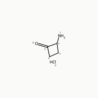 Cl.NC1CCC1=O